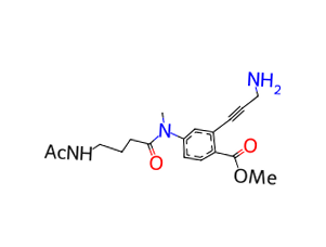 COC(=O)c1ccc(N(C)C(=O)CCCNC(C)=O)cc1C#CCN